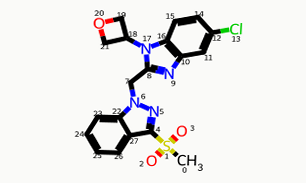 CS(=O)(=O)c1nn(Cc2nc3cc(Cl)ccc3n2C2COC2)c2ccccc12